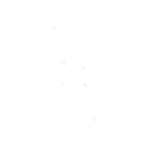 N#CSCc1cccc(C2=C3C=CC(=N3)C(c3ccccc3)=C3C=CC(=N3)C(c3cccc(CSC#N)c3)=C3C=CC(=N3)C(c3ccccc3)=C3C=CC2=N3)c1